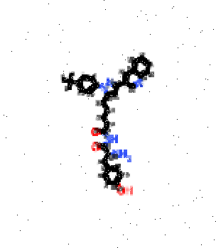 CC(C)(C)c1ccc(-n2nc(-c3cnc4ccccc4c3)cc2CCCCC(=O)NC(=O)[C@@H](N)Cc2ccc(O)cc2)cc1